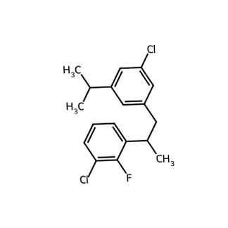 CC(C)c1cc(Cl)cc(CC(C)c2cccc(Cl)c2F)c1